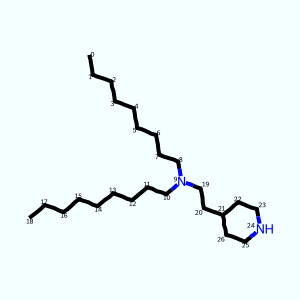 CCCCCCCCCN(CCCCCCCCC)CCC1CCNCC1